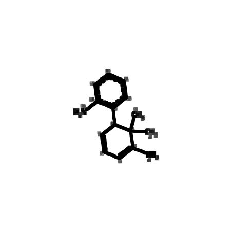 CC1(C)C(N)=CC=CC1c1ccccc1N